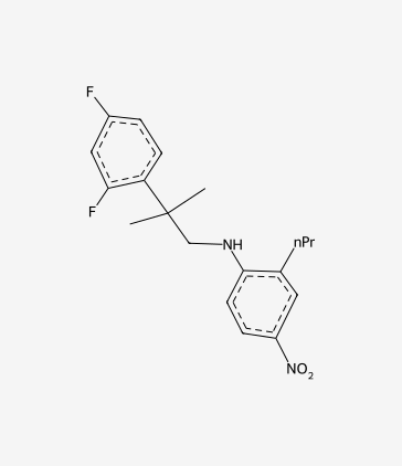 CCCc1cc([N+](=O)[O-])ccc1NCC(C)(C)c1ccc(F)cc1F